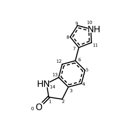 O=C1Cc2ccc(-c3cc[nH]c3)cc2N1